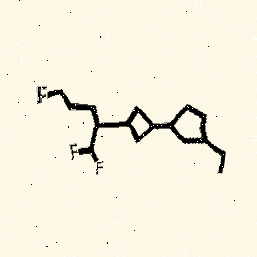 CCC1CCC(C2CC(C(CCCF)C(F)F)C2)C1